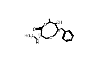 CC1OC(=O)[C@@H](NC(=O)O)COC[C@H](Cc2ccccc2)C1O